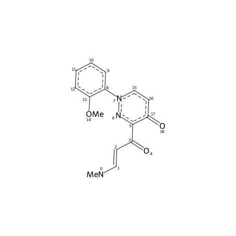 CNC=CC(=O)c1nn(-c2ccccc2OC)ccc1=O